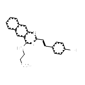 CNCCNc1nc(/C=C/c2ccc(C)cc2)nc2cc3ccccc3cc12